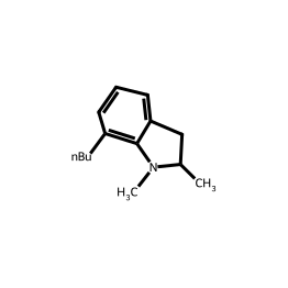 CCCCc1cccc2c1N(C)C(C)C2